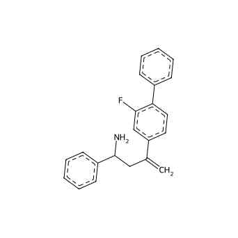 C=C(CC(N)c1ccccc1)c1ccc(-c2ccccc2)c(F)c1